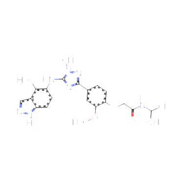 COc1cc(-c2nc(Nc3ccc4[nH]ncc4c3C)n(C)n2)ccc1OCC(=O)NC(C)C